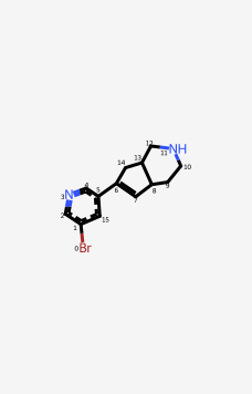 Brc1cncc(C2=CC3CCNCC3C2)c1